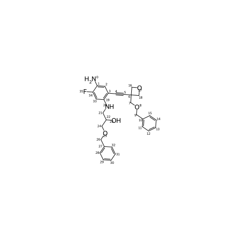 Nc1cc(C#CC2(COCc3ccccc3)COC2)c(NCC(O)COCc2ccccc2)cc1F